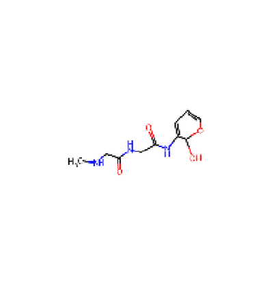 CNCC(=O)NCC(=O)NC1=CC=COC1O